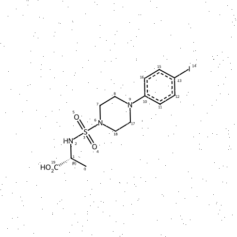 C[C@@H](NS(=O)(=O)N1CCN(c2ccc(I)cc2)CC1)C(=O)O